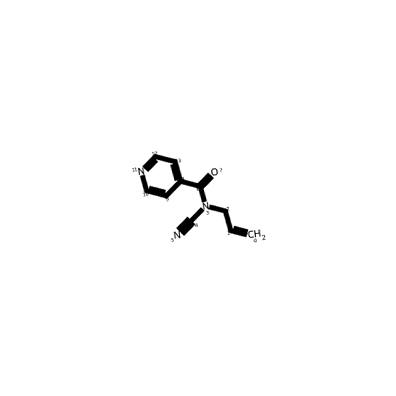 C=CCN(C#N)C(=O)c1ccncc1